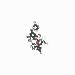 CCNc1cc(C2(c3nncn3C)CC(C)C2)cc(N2Cc3c(cc(CN4CCC[C@H](C)C4)cc3[S+](C)[O-])C2=O)n1